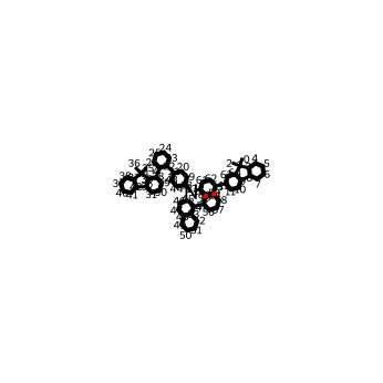 CC1(C)c2ccccc2-c2ccc(-c3ccc(N(c4ccc(-c5ccccc5-c5cccc6c5C(C)(C)c5ccccc5-6)cc4)c4ccc5ccccc5c4-c4ccccc4)cc3)cc21